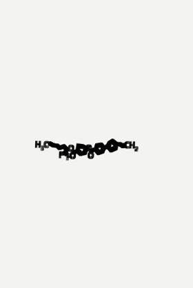 C=CCc1ccc(-c2ccc(C(=O)Oc3ccc(C(=O)OC(CCCCCC)C(F)F)cc3)cc2)cc1